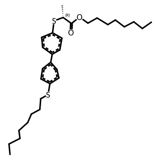 CCCCCCCCOC(=O)[C@@H](C)Sc1ccc(-c2ccc(SCCCCCCCC)cc2)cc1